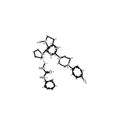 O=C(NC[C@@H]1CCCN1c1nc(N2CCN(c3ccc(Cl)cc3)CC2)nc2c1[S+]([O-])CC2)Nc1ccccc1